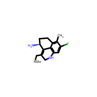 CNCC1=C2c3c(cc(F)c(C)c3CC[C@@H]2N)NC1